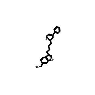 OCc1ccc2c(CCCCC3CC(c4ccccc4)=CCN3)c[nH]c2c1